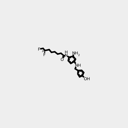 Nc1cc(NCc2ccc(O)cc2)ccc1NC(=O)CCCCC[C@@H](F)CF